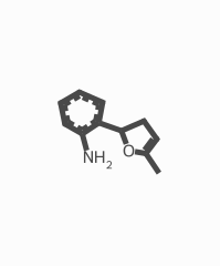 CC1=CCC(c2ccccc2N)O1